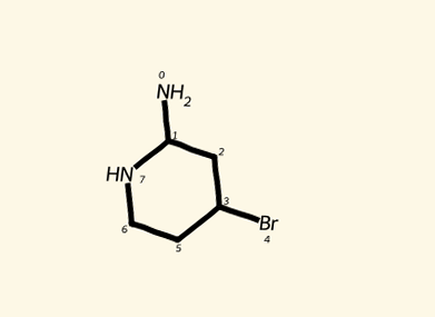 NC1CC(Br)CCN1